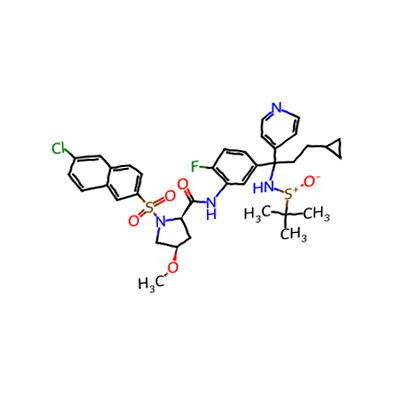 CO[C@@H]1C[C@H](C(=O)Nc2cc(C(CCC3CC3)(N[S@+]([O-])C(C)(C)C)c3ccncc3)ccc2F)N(S(=O)(=O)c2ccc3cc(Cl)ccc3c2)C1